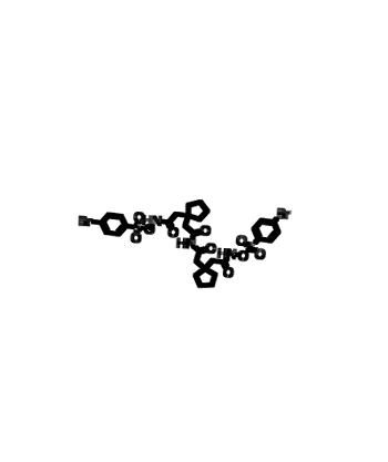 O=C(CC1(CC(=O)NC(=O)CC2(CC(=O)NOS(=O)(=O)c3ccc(Br)cc3)CCCC2)CCCC1)NOS(=O)(=O)c1ccc(Br)cc1